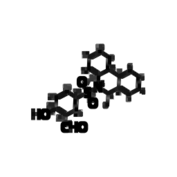 CC1c2ccccc2-c2ccccc2N1S(=O)(=O)c1ccc(O)c(C=O)c1